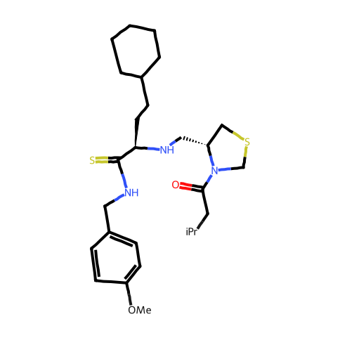 COc1ccc(CNC(=S)[C@@H](CCC2CCCCC2)NC[C@@H]2CSCN2C(=O)CC(C)C)cc1